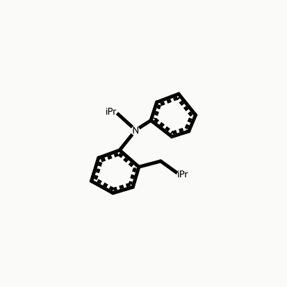 CC(C)Cc1ccccc1N(c1ccccc1)C(C)C